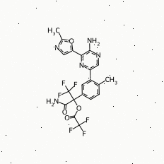 Cc1ncc(-c2nc(-c3cc(C(OC(=O)C(F)(F)F)(C(N)=O)C(F)(F)F)ccc3C)cnc2N)o1